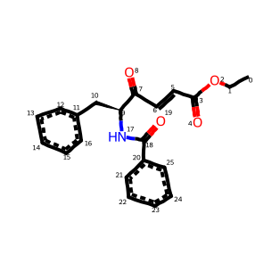 CCOC(=O)C=CC(=O)[C@H](Cc1ccccc1)NC(=O)c1ccccc1